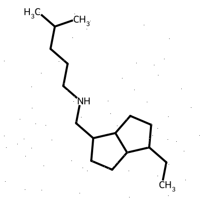 CCC1CCC2C(CNCCCC(C)C)CCC12